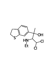 CCNC(C(Cl)Cl)C(C)(O)c1ccc2c(c1)SCC2